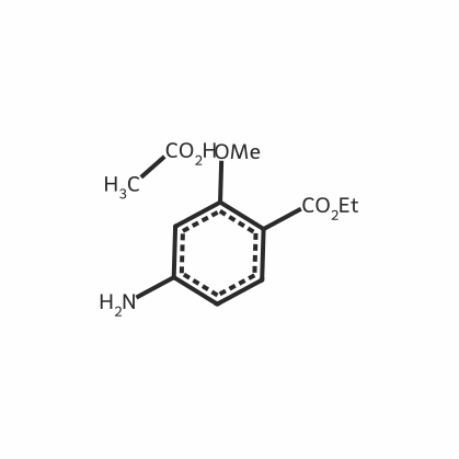 CC(=O)O.CCOC(=O)c1ccc(N)cc1OC